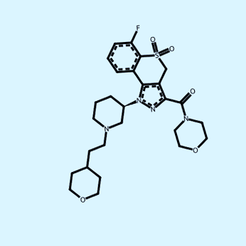 O=C(c1nn([C@@H]2CCCN(CCC3CCOCC3)C2)c2c1CS(=O)(=O)c1c(F)cccc1-2)N1CCOCC1